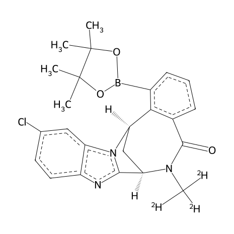 [2H]C([2H])([2H])N1C(=O)c2cccc(B3OC(C)(C)C(C)(C)O3)c2[C@H]2C[C@@H]1c1nc3ccc(Cl)cc3n12